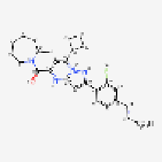 C[C@@H]1CCCCCN1C(=O)c1cc(C2CCC2)n2nc(-c3ccc(/C=C/C(=O)O)cc3F)cc2n1